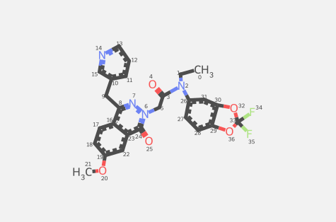 CCN(C(=O)Cn1nc(Cc2cccnc2)c2ccc(OC)cc2c1=O)c1ccc2c(c1)OC(F)(F)O2